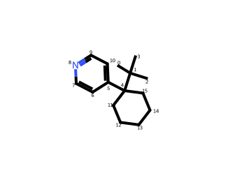 CC(C)(C)C1(c2ccncc2)CCCCC1